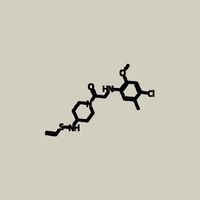 C=CSNC1CCN(C(=O)CNc2cc(C)c(Cl)cc2OC)CC1